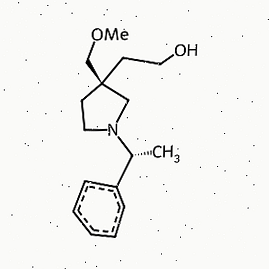 COC[C@]1(CCO)CCN([C@H](C)c2ccccc2)C1